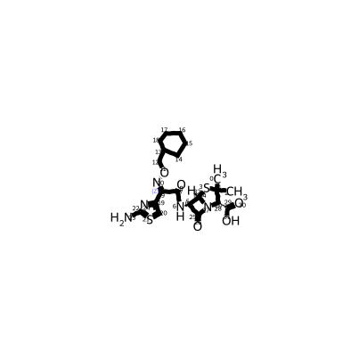 CC1(C)S[C@@H]2[C@@H](NC(=O)/C(=N\OCC3CCCCC3)c3csc(N)n3)C(=O)N2[C@H]1C(=O)O